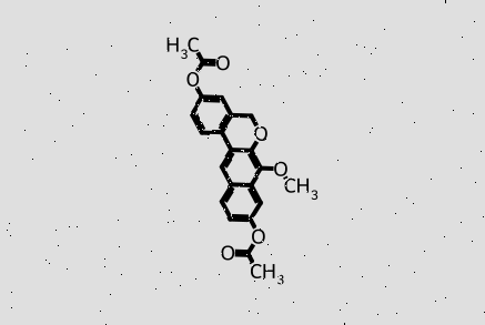 COc1c2c(cc3ccc(OC(C)=O)cc13)-c1ccc(OC(C)=O)cc1CO2